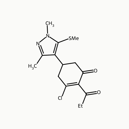 CCC(=O)C1=C(Cl)CC(c2c(C)nn(C)c2SC)CC1=O